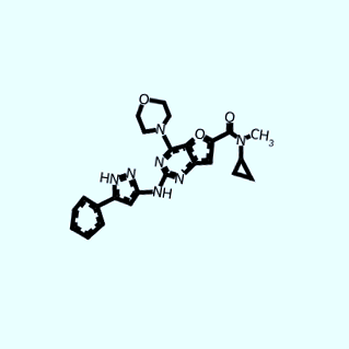 CN(C(=O)c1cc2nc(Nc3cc(-c4ccccc4)[nH]n3)nc(N3CCOCC3)c2o1)C1CC1